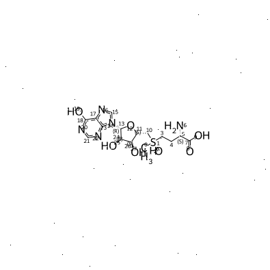 C[SH](=O)(CC[C@H](N)C(=O)O)C[C@H]1O[C@@H](n2cnc3c(O)ncnc32)[C@H](O)[C@@H]1O